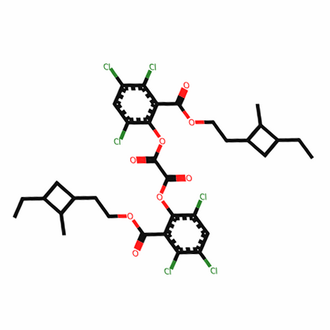 CCC1CC(CCOC(=O)c2c(Cl)c(Cl)cc(Cl)c2OC(=O)C(=O)Oc2c(Cl)cc(Cl)c(Cl)c2C(=O)OCCC2CC(CC)C2C)C1C